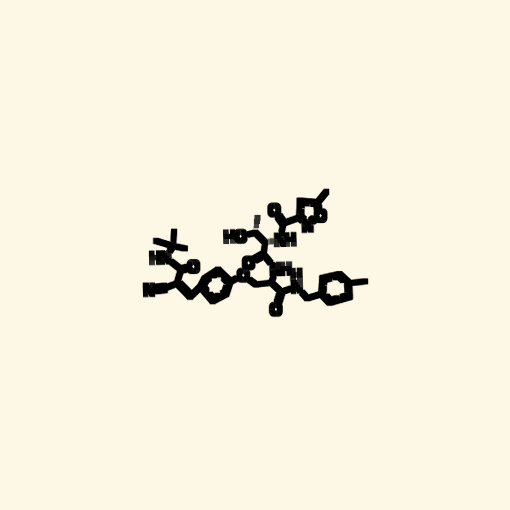 Cc1ccc(CNC(=O)C(COc2ccc(C=C(C#N)C(=O)NC(C)(C)C)cc2)NC(=O)[C@@H](NC(=O)c2cc(C)on2)[C@@H](C)O)cc1